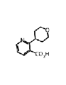 O=C(O)c1cccnc1C1CCOCC1